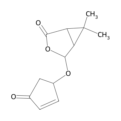 CC1(C)C2C(=O)OC(OC3C=CC(=O)C3)C21